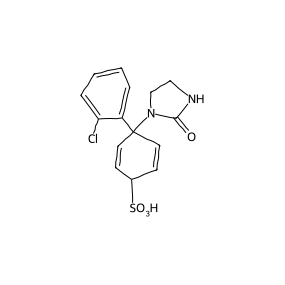 O=C1NCCN1C1(c2ccccc2Cl)C=CC(S(=O)(=O)O)C=C1